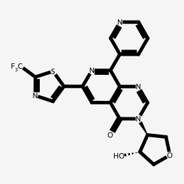 O=c1c2cc(-c3cnc(C(F)(F)F)s3)nc(-c3cccnc3)c2ncn1[C@H]1COC[C@@H]1O